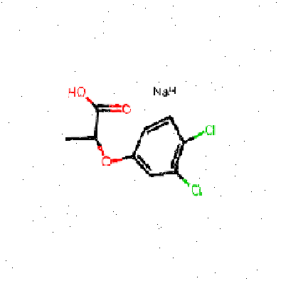 CC(Oc1ccc(Cl)c(Cl)c1)C(=O)O.[NaH]